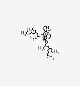 C=CC(=O)OC1(C(=O)OCC(C)CC(CC)CCCC)CCCCC1C(=O)OCC(C)CC(CC)CCCC